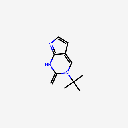 C=C1NC2=NC=CC2=CN1C(C)(C)C